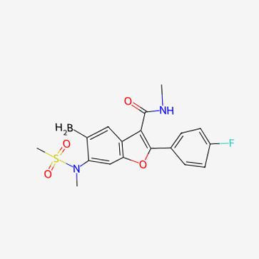 Bc1cc2c(C(=O)NC)c(-c3ccc(F)cc3)oc2cc1N(C)S(C)(=O)=O